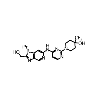 CC(C)n1c(CO)nc2cnc(Nc3ccnc(N4CCC(O)(C(F)(F)F)CC4)n3)cc21